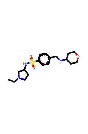 CCN1CCC(NS(=O)(=O)c2ccc(CNC3CCOCC3)cc2)C1